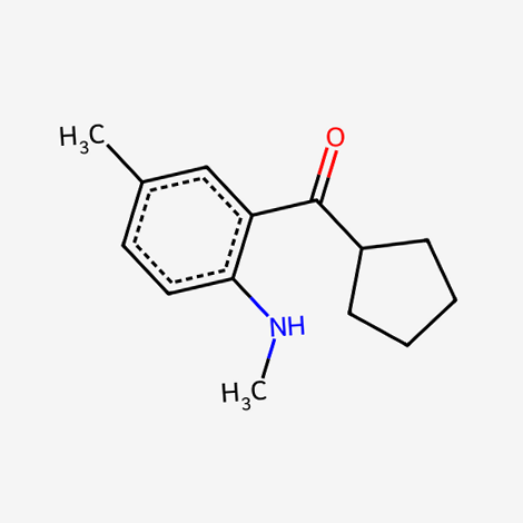 CNc1ccc(C)cc1C(=O)C1CCCC1